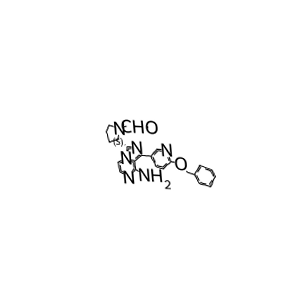 Nc1nccn2c([C@@H]3CCCN3[C]=O)nc(-c3ccc(OCc4ccccc4)nc3)c12